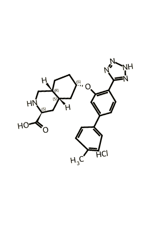 Cc1ccc(-c2ccc(-c3nn[nH]n3)c(O[C@H]3CC[C@H]4CN[C@H](C(=O)O)C[C@H]4C3)c2)cc1.Cl